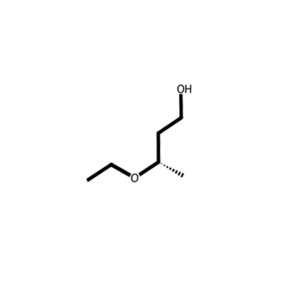 CCO[C@@H](C)CCO